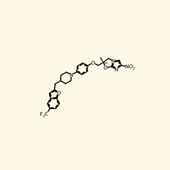 C[C@@]1(COc2ccc(N3CCC(Cc4cc5cc(C(F)(F)F)ccc5o4)CC3)cc2)Cn2cc([N+](=O)[O-])nc2O1